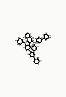 c1ccc(-c2ccc(-c3ccc4c(c3)c3c(N(c5ccccc5)c5ccc(-c6ccccc6)cc5)cc5ccccc5c3n4-c3ccccc3)cc2)cc1